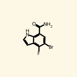 NC(=O)c1cc(Br)c(F)c2cc[nH]c12